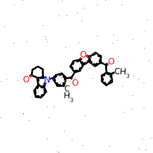 Cc1ccccc1C(=O)c1ccc2oc3ccc(C(=O)c4ccc(-n5c6c(c7ccccc75)C(=O)CCC6)cc4C)cc3c2c1